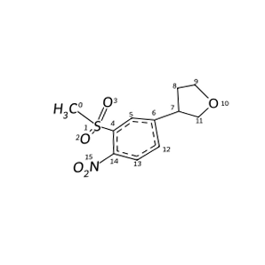 CS(=O)(=O)c1cc(C2CCOC2)ccc1[N+](=O)[O-]